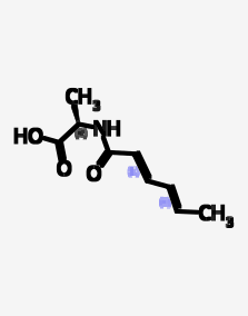 C/C=C/C=C/C(=O)N[C@H](C)C(=O)O